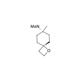 CN[C@]1(C)CC[C@@]2(CCO2)CC1